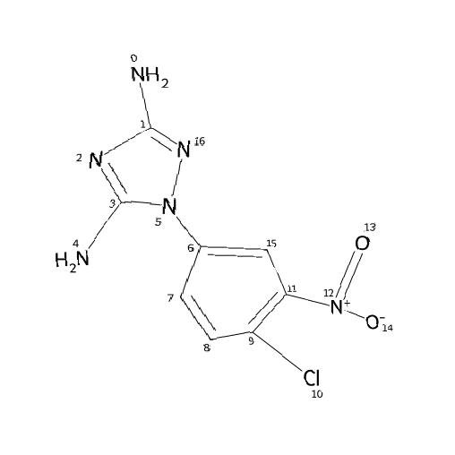 Nc1nc(N)n(-c2ccc(Cl)c([N+](=O)[O-])c2)n1